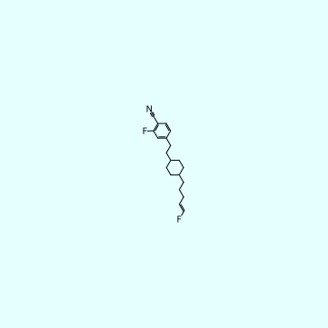 N#Cc1ccc(CCC2CCC(CCCC=CF)CC2)cc1F